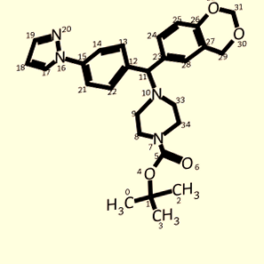 CC(C)(C)OC(=O)N1CCN(C(c2ccc(-n3cccn3)cc2)c2ccc3c(c2)COCO3)CC1